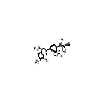 O=C(NC1CC1)c1ccc(C(F)=CC(c2ccc(Br)c(Br)c2)C(F)(F)F)cc1C(F)(F)F